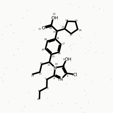 CCCCc1nc(Cl)c(O)n1C(CCC)c1ccc(C(C(=O)O)C2CCCC2)cc1